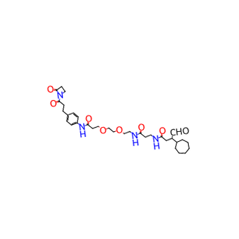 O=CC(CC(=O)NCCC(=O)NCCOCCOCCC(=O)Nc1ccc(CCC(=O)N2CCC2=O)cc1)C1CCCCCC1